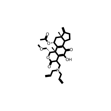 C=CCN(CC=C)CC1C(=O)O[C@H](COC)[C@@]2(C)C1=C(O)C(=O)C1=C2[C@H](OC(C)=O)C[C@]2(C)C(=C)CCC12